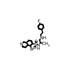 CC(CNCCc1ccc(F)cc1)NS(=O)(=O)c1ccc2cnccc2c1Br